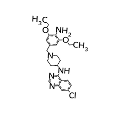 CCOc1cc(CN2CCC(Nc3ncnc4cc(Cl)ccc34)CC2)cc(OCC)c1N